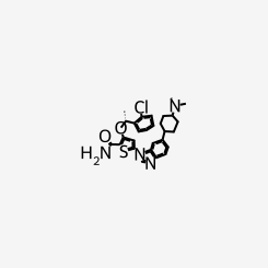 C[C@@H](Oc1cc(-n2cnc3ccc(C4CCC(N(C)C)CC4)cc32)sc1C(N)=O)c1ccccc1Cl